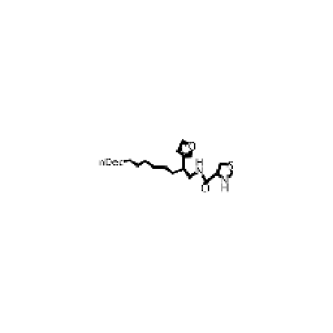 CCCCCCCCCCCCCCCCC(CNC(=O)C1CSCN1)c1ccoc1